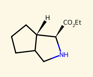 CCOC(=O)[C@H]1NCC2CCC[C@@H]21